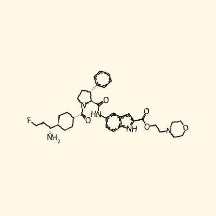 N[C@H](CCF)[C@H]1CC[C@H](C(=O)N2CC[C@H](c3ccccc3)[C@H]2C(=O)Nc2ccc3[nH]c(C(=O)OCCN4CCOCC4)cc3c2)CC1